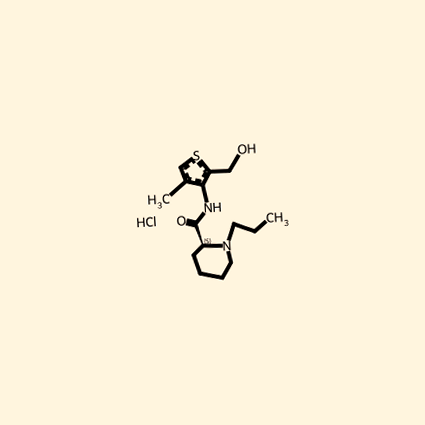 CCCN1CCCC[C@H]1C(=O)Nc1c(C)csc1CO.Cl